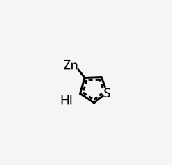 I.[Zn][c]1ccsc1